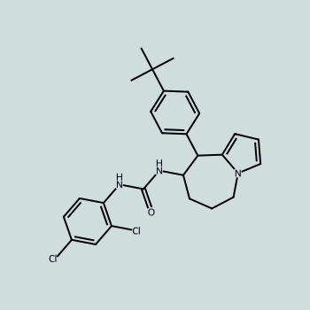 CC(C)(C)c1ccc(C2c3cccn3CCCC2NC(=O)Nc2ccc(Cl)cc2Cl)cc1